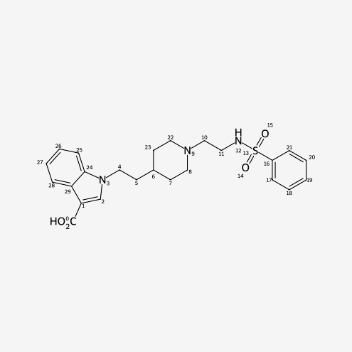 O=C(O)c1cn(CCC2CCN(CCNS(=O)(=O)c3ccccc3)CC2)c2ccccc12